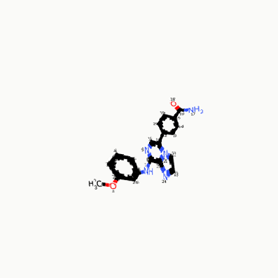 COc1cccc(Nc2ncc(-c3ccc(C(N)=O)cc3)n3ccnc23)c1